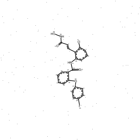 O=C(C=Cc1c(Cl)cccc1NC(=O)c1ccccc1Oc1ccc(F)cc1)NO